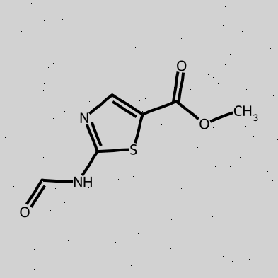 COC(=O)c1cnc(NC=O)s1